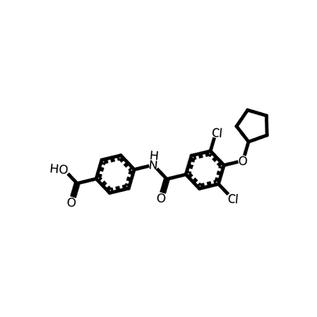 O=C(O)c1ccc(NC(=O)c2cc(Cl)c(OC3CCCC3)c(Cl)c2)cc1